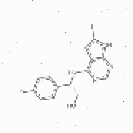 OC[C@@H](Nc1ncnc2[nH]c(I)cc12)c1ccc(F)cc1